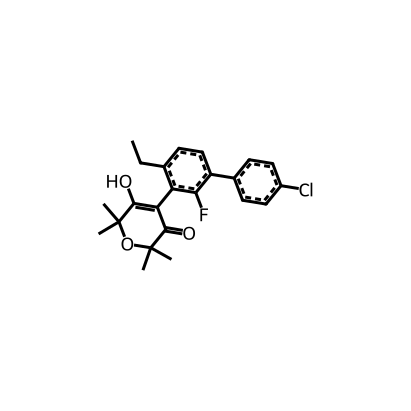 CCc1ccc(-c2ccc(Cl)cc2)c(F)c1C1=C(O)C(C)(C)OC(C)(C)C1=O